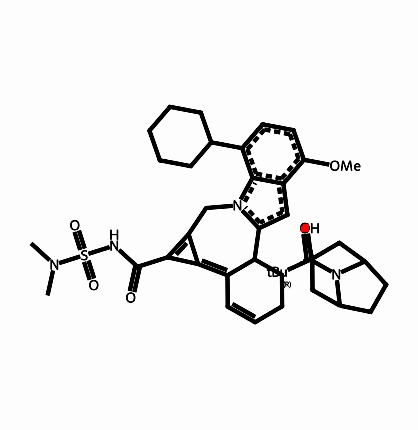 COc1ccc(C2CCCCC2)c2c1cc1n2CC2=C(C(=O)NS(=O)(=O)N(C)C)C2=C2C=CC[C@@H](C(=O)N3C4CCC3CC(O)(C(C)(C)C)C4)C21